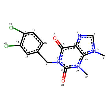 Cn1cnc2c(=O)n(Cc3ccc(Cl)c(Cl)c3)c(=O)n(C)c21